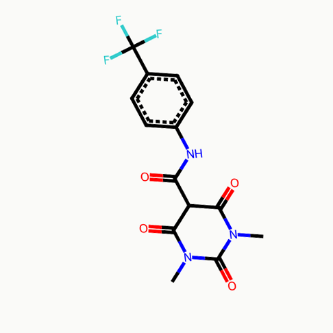 CN1C(=O)C(C(=O)Nc2ccc(C(F)(F)F)cc2)C(=O)N(C)C1=O